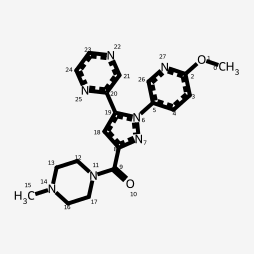 COc1ccc(-n2nc(C(=O)N3CCN(C)CC3)cc2-c2cnccn2)cn1